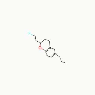 CCCc1ccc2c(c1)CCC(CCF)O2